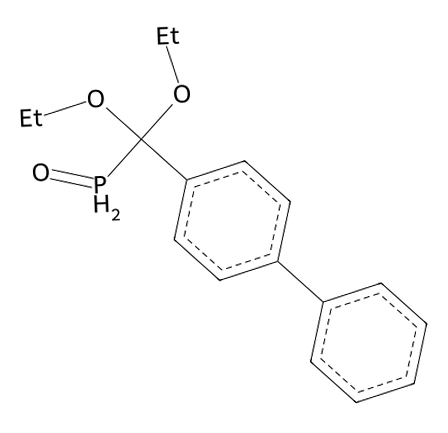 CCOC(OCC)([PH2]=O)c1ccc(-c2ccccc2)cc1